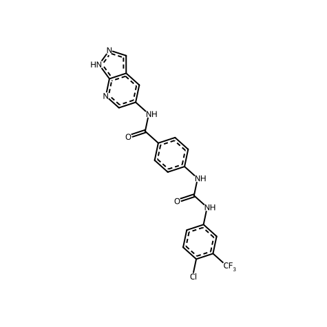 O=C(Nc1ccc(C(=O)Nc2cnc3[nH]ncc3c2)cc1)Nc1ccc(Cl)c(C(F)(F)F)c1